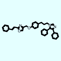 C(=C\c1nc(COc2ccc(CCCn3cnc(-c4ccccc4)c3-c3ccccc3)cc2)co1)/c1ccccc1